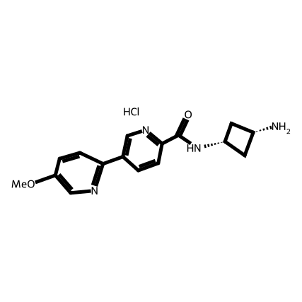 COc1ccc(-c2ccc(C(=O)N[C@H]3C[C@@H](N)C3)nc2)nc1.Cl